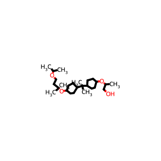 CC(C)OCCC(C)(C)OC1CCC(C(C)(C)C2CCC(OC(C)CO)CC2)CC1